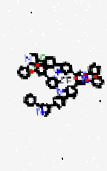 Fc1cc(F)cc(-c2ccc(-n3c4cc(-c5ccnc(-c6ccccc6)c5)ccc4c4ccc(-c5ccnc(-c6ccccc6)c5)cc43)c(C(F)(F)F)c2-n2c3cc(-c4ccnc(-c5ccccc5)c4)ccc3c3ccc(-c4ccnc(-c5ccccc5)c4)cc32)c1